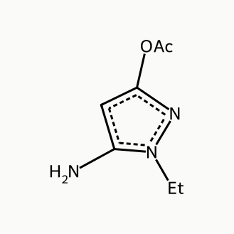 CCn1nc(OC(C)=O)cc1N